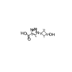 O=C(O)c1cn(C2CC(O)C2)nn1